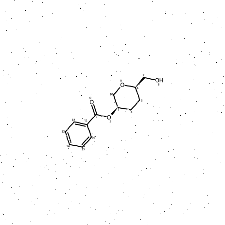 O=C(O[C@@H]1CC[C@H](CO)OC1)c1ccccc1